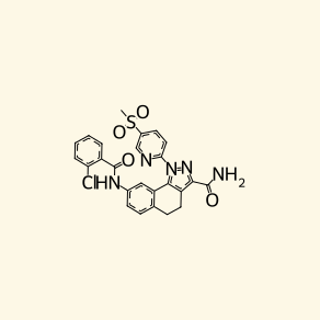 CS(=O)(=O)c1ccc(-n2nc(C(N)=O)c3c2-c2cc(NC(=O)c4ccccc4Cl)ccc2CC3)nc1